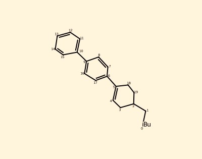 CCC(C)CC1CC=C(c2ccc(-c3ccccc3)cc2)CC1